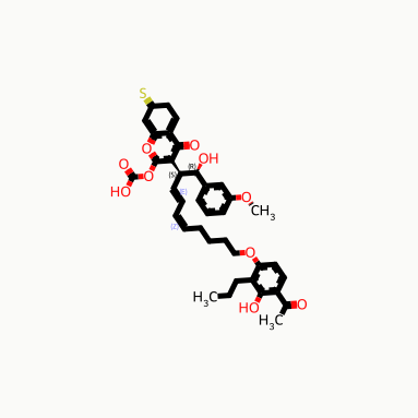 CCCc1c(OCCCC/C=C\C=C\[C@@H](c2c(OC(=O)O)oc3c(c2=O)=CCC(=S)C=3)[C@@H](O)c2cccc(OC)c2)ccc(C(C)=O)c1O